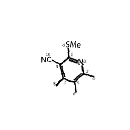 [CH2]Sc1nc(C)c(C)c(C)c1C#N